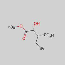 CCCCOC(=O)[C@H](O)[C@@H](CC(C)C)C(=O)O